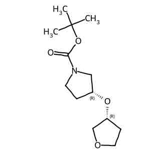 CC(C)(C)OC(=O)N1CC[C@@H](O[C@@H]2CCOC2)C1